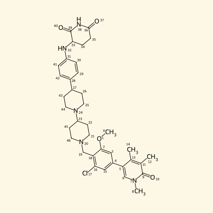 COc1cc(-c2cn(C)c(=O)c(C)c2C)cc(Cl)c1CN1CCC(N2CCC(c3ccc(NC4CCC(=O)NC4=O)cc3)CC2)CC1